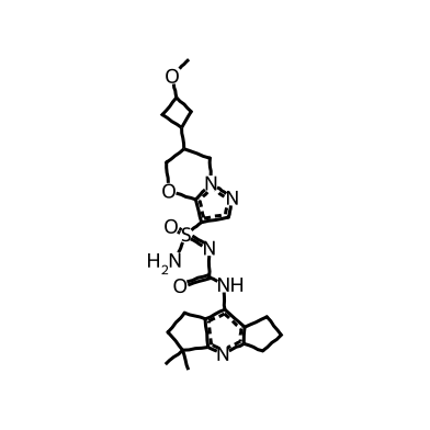 COC1CC(C2COc3c(S(N)(=O)=NC(=O)Nc4c5c(nc6c4CCC6(C)C)CCC5)cnn3C2)C1